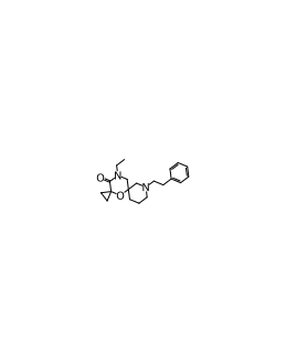 CCN1CC2(CCCN(CCc3ccccc3)C2)OC2(CC2)C1=O